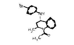 CC(=O)N1c2ccccc2[C@@H](Nc2ccc(Br)cc2)C[C@@H]1C